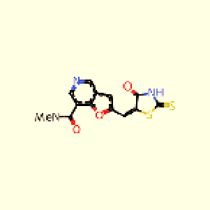 CNC(=O)c1cncc2cc(/C=C3/SC(=S)NC3=O)oc12